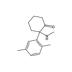 CNC1(c2cc(C)ccc2C)CCCCC1=O